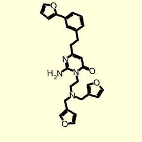 Nc1nc(CCc2cccc(-c3ccco3)c2)cc(=O)n1CCN(Cc1ccoc1)Cc1ccoc1